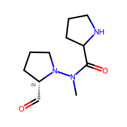 CN(C(=O)C1CCCN1)N1CCC[C@H]1C=O